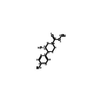 CC(C)(C)OC(=O)N1CCC(c2ccc(Br)cc2)[C@H](F)C1